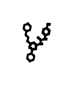 O=C(Nc1ccc(O)cc1)Nc1cc(OCCN2CCOCC2)nc(N2CCOCC2)n1